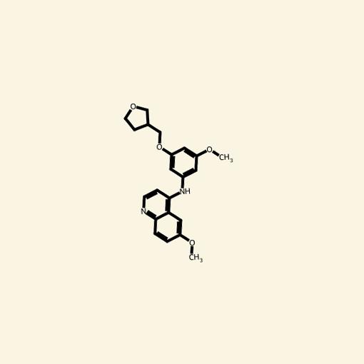 COc1cc(Nc2ccnc3ccc(OC)cc23)cc(OCC2CCOC2)c1